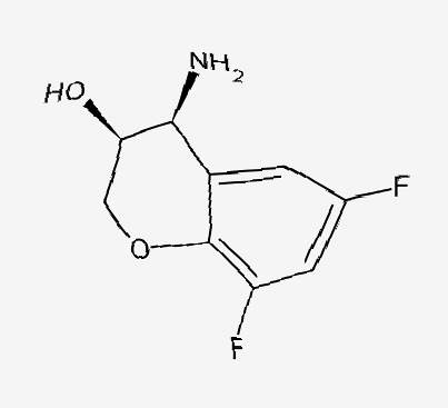 N[C@H]1c2cc(F)cc(F)c2OC[C@H]1O